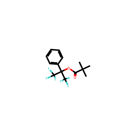 CC(C)(C)C(=O)OC(c1ccccc1)(C(F)(F)F)C(F)(F)F